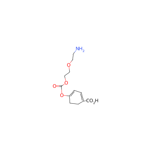 NCCOCCOC(=O)OC1=CC=C(C(=O)O)CC1